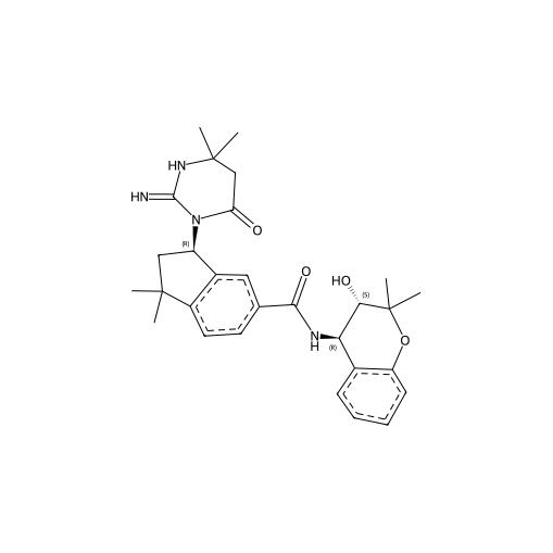 CC1(C)CC(=O)N([C@@H]2CC(C)(C)c3ccc(C(=O)N[C@@H]4c5ccccc5OC(C)(C)[C@H]4O)cc32)C(=N)N1